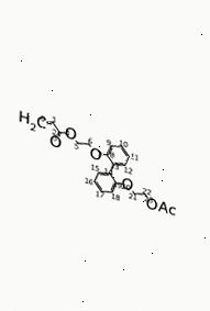 C=CC(=O)OCCOc1ccccc1-c1ccccc1OCCOC(C)=O